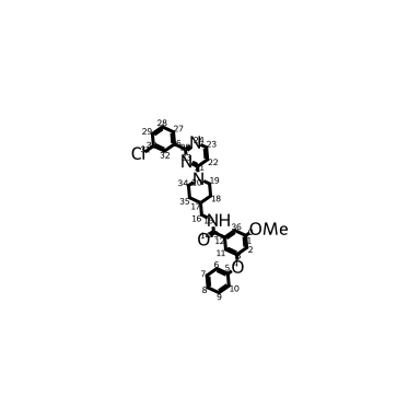 COc1cc(Oc2ccccc2)cc(C(=O)NCC2CCN(c3ccnc(-c4cccc(Cl)c4)n3)CC2)c1